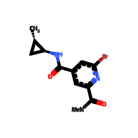 CNC(=O)c1cc(C(=O)N[C@H]2C[C@@H]2C)cc(Br)n1